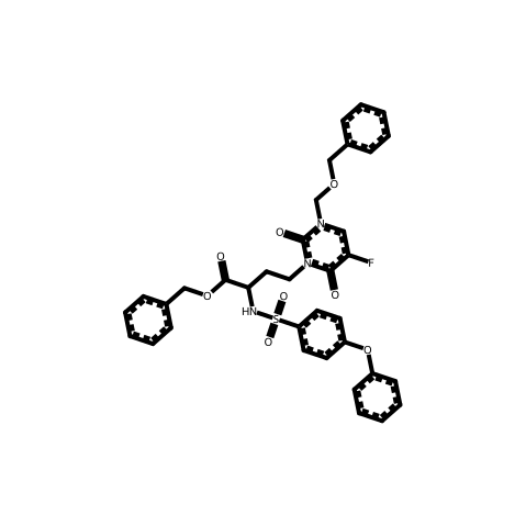 O=C(OCc1ccccc1)C(CCn1c(=O)c(F)cn(COCc2ccccc2)c1=O)NS(=O)(=O)c1ccc(Oc2ccccc2)cc1